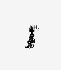 CCCN(C)C(=O)c1cccc2c1CN=C2C(C)(c1ccc(-c2cnc(N)nc2)cc1)C(C)C